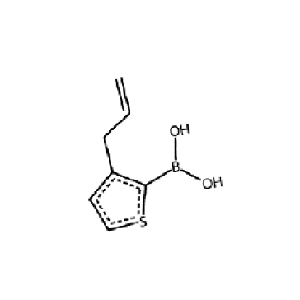 C=CCc1ccsc1B(O)O